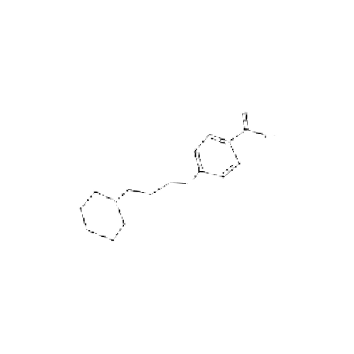 CCCC(=O)c1ccc(OCCCN2CCCCC2)cc1.[H+]